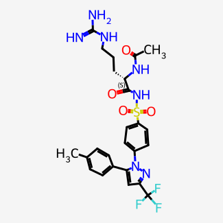 CC(=O)N[C@@H](CCCNC(=N)N)C(=O)NS(=O)(=O)c1ccc(-n2nc(C(F)(F)F)cc2-c2ccc(C)cc2)cc1